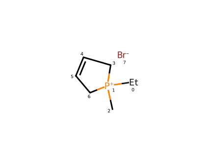 CC[P+]1(C)CC=CC1.[Br-]